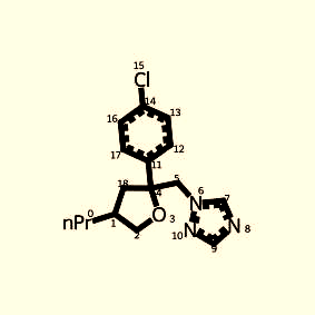 CCCC1COC(Cn2cncn2)(c2ccc(Cl)cc2)C1